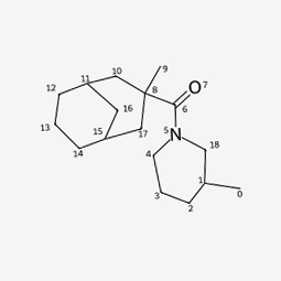 CC1CCCN(C(=O)C2(C)CC3CCCC(C3)C2)C1